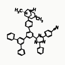 C[C@@H]1C[C@@H]2C[C@H](C)CC(c3ccc(-c4cc(-c5cc(-c6ccccc6)cc(-c6ccccc6)c5)cc(-c5nc(-c6ccccc6)nc(-c6ccc(C#N)cc6)n5)c4)cc3)(C1)C2